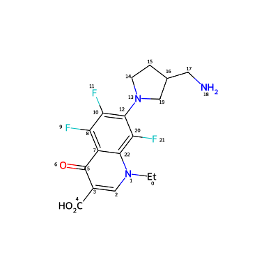 CCn1cc(C(=O)O)c(=O)c2c(F)c(F)c(N3CCC(CN)C3)c(F)c21